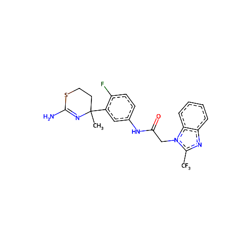 CC1(c2cc(NC(=O)Cn3c(C(F)(F)F)nc4ccccc43)ccc2F)CCSC(N)=N1